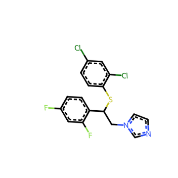 Fc1ccc(C(Cn2ccnc2)Sc2ccc(Cl)cc2Cl)c(F)c1